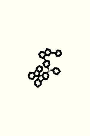 c1ccc(-c2ccc3cccc(-c4ccc(N(c5ccccc5)c5ccc6c(c5)C5(c7ccccc7-c7ccccc75)c5ccccc5-6)cc4)c3c2)cc1